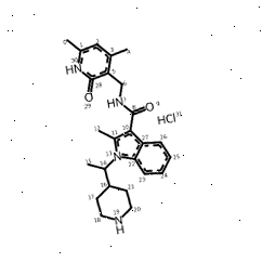 Cc1cc(C)c(CNC(=O)c2c(C)n(C(C)C3CCNCC3)c3ccccc23)c(=O)[nH]1.Cl